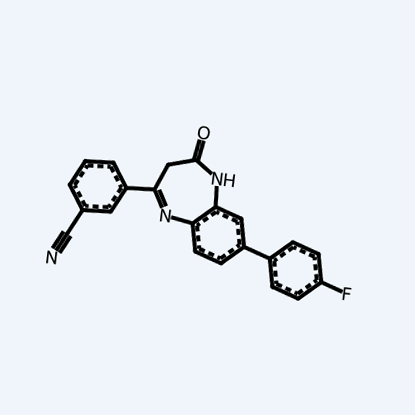 N#Cc1cccc(C2=Nc3ccc(-c4ccc(F)cc4)cc3NC(=O)C2)c1